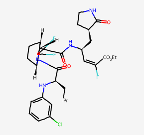 CCOC(=O)/C(F)=C\[C@H](C[C@H]1CCNC1=O)NC(=O)[C@H]1[C@H]2CC[C@H](CC2(F)F)N1C(=O)[C@@H](CC(C)C)Nc1cccc(Cl)c1